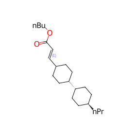 CCCCOC(=O)/C=C/C1CCC([C@H]2CC[C@H](CCC)CC2)CC1